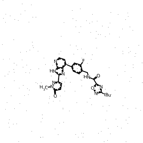 Cn1nc(-c2nc3c(-c4ccc(CNC(=O)c5nc(C(C)(C)C)no5)c(F)c4)ccnc3[nH]2)ccc1=O